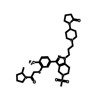 CC1CCCN1C(=O)CSc1cc(-c2nn(CCCN3CCC(N4CCCC4=O)CC3)c3c2CN(S(C)(=O)=O)CC3)ccc1C(F)(F)F